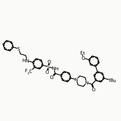 CCOc1cccc(-c2cc(C(=O)N3CCN(c4ccc(C(=O)NS(=O)(=O)c5ccc(NCCSc6ccccc6)c(C(F)(F)F)c5)cc4)CC3)cc(C(C)(C)C)c2)c1